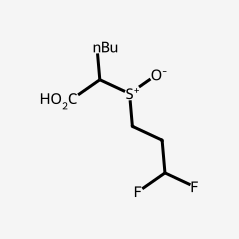 CCCCC(C(=O)O)[S+]([O-])CCC(F)F